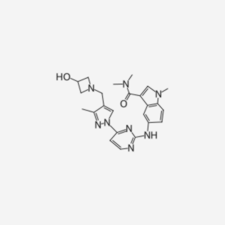 Cc1nn(-c2ccnc(Nc3ccc4c(c3)c(C(=O)N(C)C)cn4C)n2)cc1CN1CC(O)C1